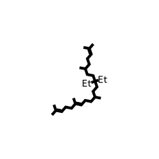 CCC(CC)(CCC(C)CCC=C(C)C)CCC(C)CC/C=C(\C)CCC=C(C)C